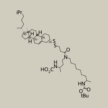 CC(C)CCCC(C)[C@H]1CC[C@H]2[C@@H]3CC=C4C[C@@H](SSCCC(=O)N(CCCCCCCC(C)NC(=O)OC(C)(C)C)CCC(C)NC(=O)O)CC[C@]4(C)[C@H]3CC[C@]12C